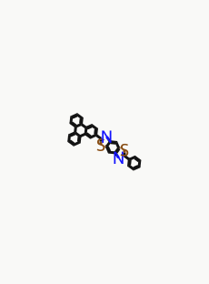 c1ccc(-c2nc3cc4sc(-c5ccc6c7ccccc7c7ccccc7c6c5)nc4cc3s2)cc1